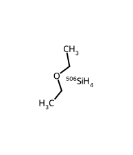 CCOCC.[506SiH4]